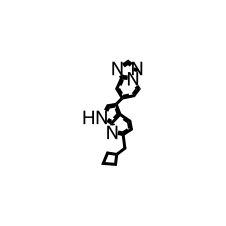 c1nc2cc(-c3c[nH]c4nc(CC5CCC5)ccc34)ccn2n1